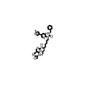 CCC[C@H](CCC/C=C/N(C(=O)NCc1ccccc1)c1ccc(-c2cnn(C)c2)cn1)Nc1ncc(C#N)c(NC2COC2)n1